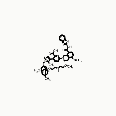 COCCNCCO[C@]12C[C@@]3(C)C[C@](C)(C[C@@](Cn4ncc(-c5ccc(N6CCc7c(OC)ccc(C(=O)Nc8nc9ccccc9s8)c7C6)nc5C(=O)O)c4C)(C3)C1)C2